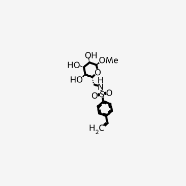 C=Cc1ccc(S(=O)(=O)NC[C@H]2O[C@H](OC)[C@@H](O)[C@@H](O)[C@@H]2O)cc1